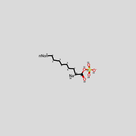 CCCCCCCCCCCCCCCCCC(=O)OS(=O)(=O)[O-].[Na+]